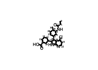 C=CC(=O)Nc1cc(-c2c(-c3cccc(C(=O)O)c3)[nH]c3nccc(Cl)c23)ccc1C